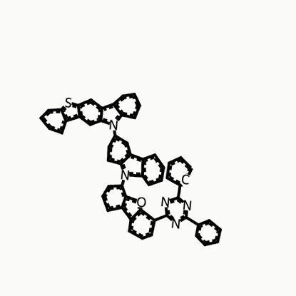 c1ccc(-c2nc(-c3ccccc3)nc(-c3cccc4c3oc3c(-n5c6ccccc6c6cc(-n7c8ccccc8c8cc9sc%10ccccc%10c9cc87)ccc65)cccc34)n2)cc1